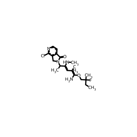 CCC(C)(F)CO/C(N)=C(C)/C=C(\NC)C(C)N1Cc2c(ccnc2Cl)C1=O